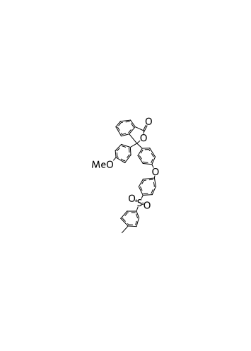 COc1ccc(C2(c3ccc(Oc4ccc(S(=O)(=O)c5ccc(C)cc5)cc4)cc3)OC(=O)c3ccccc32)cc1